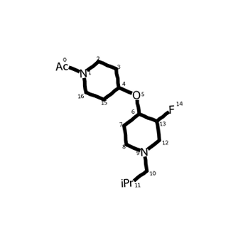 CC(=O)N1CCC(OC2CCN(CC(C)C)CC2F)CC1